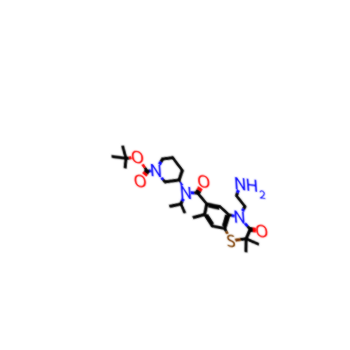 Cc1cc2c(cc1C(=O)N(C(C)C)[C@@H]1CCCN(C(=O)OC(C)(C)C)C1)N(CCN)C(=O)C(C)(C)S2